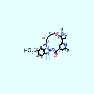 Cc1cc2cc(n1)-c1cnn(C)c1OCCC[C@@H](C)CN1/C(=N/C2=O)Nc2ccc(C(=O)O)cc21